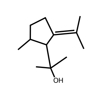 CC(C)=C1CCC(C)C1C(C)(C)O